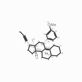 CC#C[C@H]1CC[C@H]2[C@@H]3CCC4CCCCC4=C3[C@@H](c3cccc(OC)c3)C[C@]12C